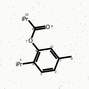 Cc1ccc(C(C)C)c(OC(=O)C(C)C)c1